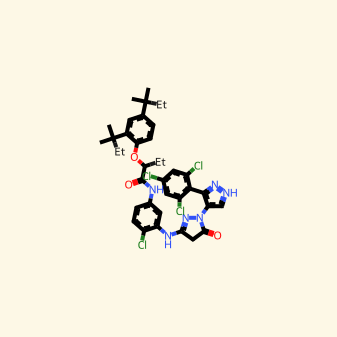 CCC(Oc1ccc(C(C)(C)CC)cc1C(C)(C)CC)C(=O)Nc1ccc(Cl)c(NC2=NN(c3c[nH]nc3-c3c(Cl)cc(Cl)cc3Cl)C(=O)C2)c1